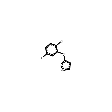 Fc1ccc(Cl)c(Nc2cc[nH]n2)c1